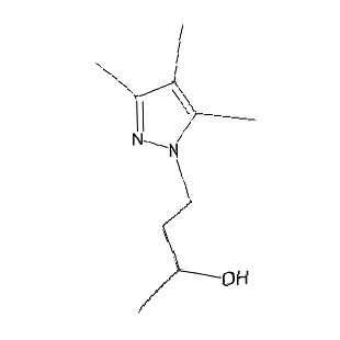 Cc1nn(CCC(C)O)c(C)c1C